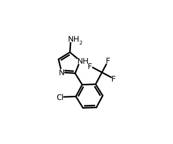 Nc1cnc(-c2c(Cl)cccc2C(F)(F)F)[nH]1